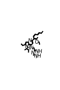 CC/C=C/C=C\C(=C(/C)OCC)c1cc(NCC(=N)/N=C\NC)c2c(cc(CC)n2C(C)CC)n1